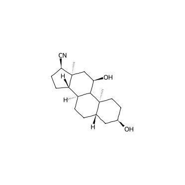 C[C@]12C[C@@H](O)C3[C@@H](CC[C@H]4C[C@H](O)CC[C@]34C)[C@@H]1CC[C@H]2C#N